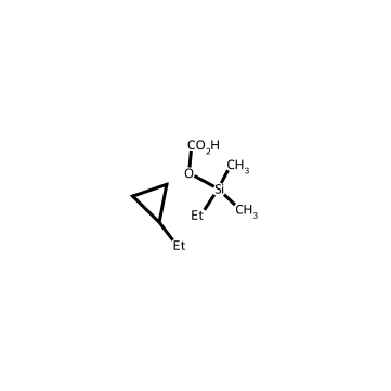 CCC1CC1.CC[Si](C)(C)OC(=O)O